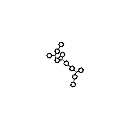 c1ccc(-c2ccc(N(c3ccccc3)c3ccc(-c4ccc(-n5c6ccccc6c6c(N(c7ccccc7)c7ccc(-c8ccccc8)cc7)cccc65)cc4)cc3)cc2)cc1